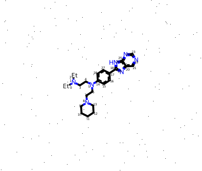 CCN(CC)CCN(CCN1CCCCC1)c1ccc(-c2nc3cncnc3[nH]2)cc1